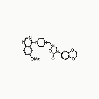 COc1ccc2ncnc(N3CCN(C[C@H]4CN(c5ccc6c(c5)OCCO6)C(=O)O4)CC3)c2c1